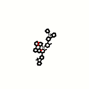 CC1C=CC(N(c2ccccc2-c2cccc3cccc(-c4ccccc4)c23)C2C=CC(c3ccc4c(c3)C(C)(C)c3ccccc3-4)=CC2C)=CC1c1ccc2c(c1)c1ccccc1n2-c1ccccc1